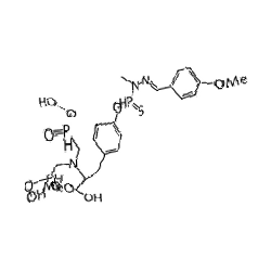 COc1ccc(/C=N/N(C)[PH](=S)Oc2ccc(CC(C(O)OC)N(C[PH](=O)OO)C[PH](=O)OO)cc2)cc1